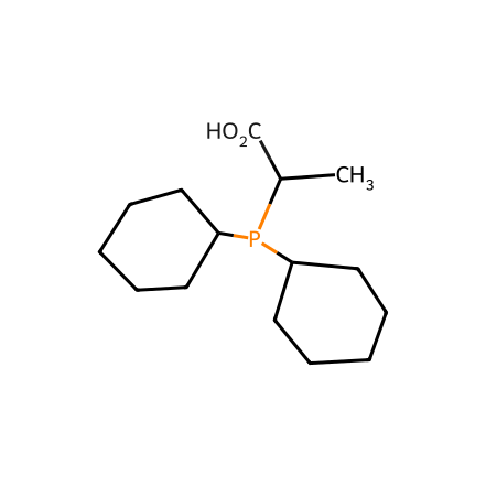 CC(C(=O)O)P(C1CCCCC1)C1CCCCC1